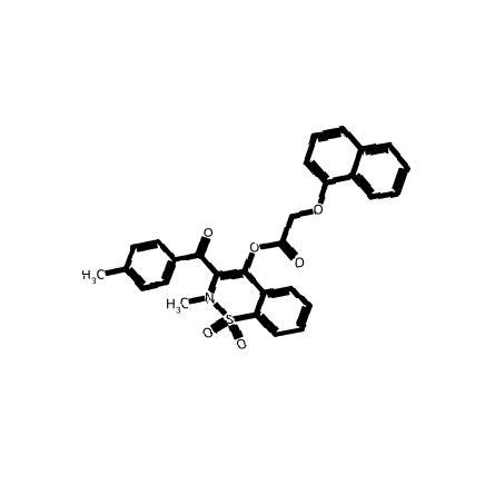 Cc1ccc(C(=O)C2=C(OC(=O)COc3cccc4ccccc34)c3ccccc3S(=O)(=O)N2C)cc1